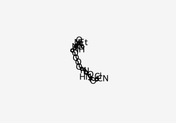 CC[C@@H]1C(=O)N(C)c2cnc(Nc3ccccc3OCCOCCOCCOC3CCN(c4ccc(C(=O)NC5C(C)(C)C(Oc6ccc(C#N)c(Cl)c6)C5(C)C)cn4)CC3)nc2N1C1CCCC1